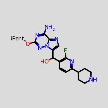 CCC[C@H](C)Oc1nc(N)c2ncc(C(O)c3ccc(C4CCNCC4)nc3F)n2n1